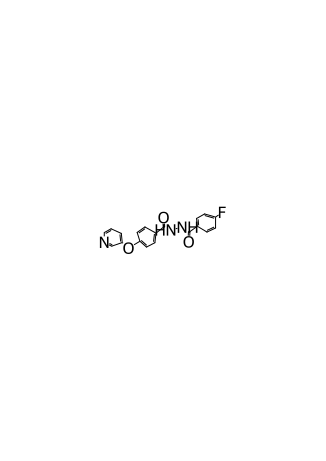 O=C(NNC(=O)c1ccc(Oc2cccnc2)cc1)c1ccc(F)cc1